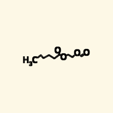 CCCCCC(=O)OCCOC=O